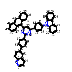 c1cnc2ccc(-c3ccc(-c4nc(-c5ccc(-n6c7ccccc7c7ccccc76)cc5)cc(-c5c6ccccc6cc6ccccc56)n4)cc3)cc2c1